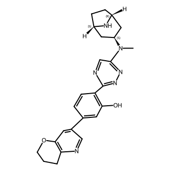 CN(c1cnc(-c2ccc(-c3cnc4c(c3)OCCC4)cc2O)nn1)[C@@H]1C[C@H]2CC[C@@H](C1)N2